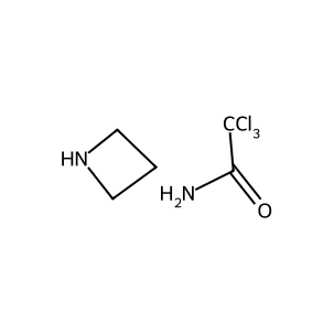 C1CNC1.NC(=O)C(Cl)(Cl)Cl